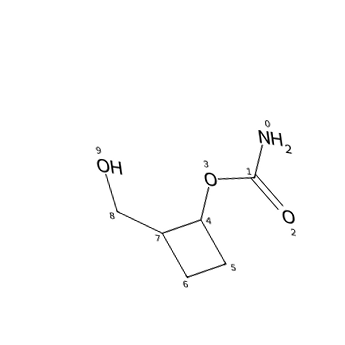 NC(=O)OC1CCC1CO